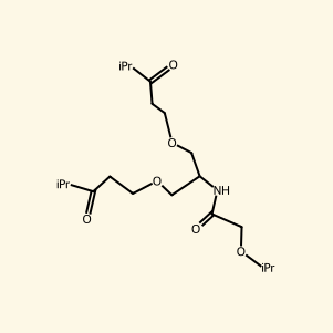 CC(C)OCC(=O)NC(COCCC(=O)C(C)C)COCCC(=O)C(C)C